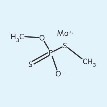 COP([O-])(=S)SC.[Mo+]